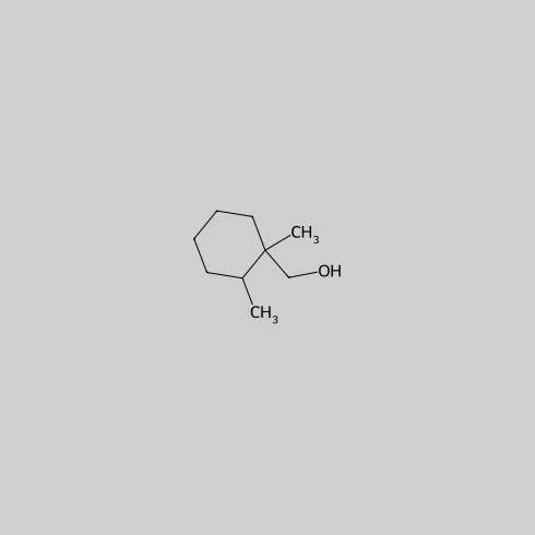 CC1CCCCC1(C)CO